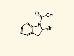 O=C(O)N1c2ccccc2CC1Br